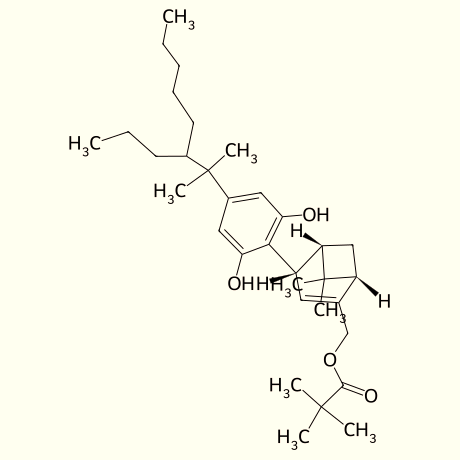 CCCCCC(CCC)C(C)(C)c1cc(O)c([C@H]2C=C(COC(=O)C(C)(C)C)[C@H]3C[C@@H]2C3(C)C)c(O)c1